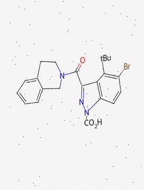 CC(C)(C)c1c(Br)ccc2c1c(C(=O)N1CCc3ccccc3C1)nn2C(=O)O